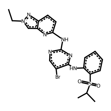 CCn1cc2nc(Nc3ncc(Br)c(Nc4ccccc4S(=O)(=O)C(C)C)n3)ccc2n1